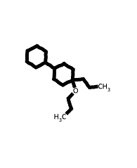 CCCOC1(CCC)CCC(C2CCCCC2)CC1